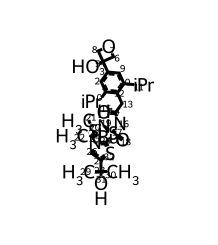 CC(C)c1cc(C2(O)COC2)cc(C(C)C)c1CC(=O)N=S(=O)(N[Si](C)(C)C(C)(C)C)c1ncc(C(C)(C)O)s1